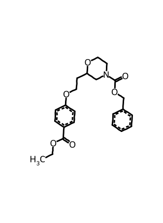 CCOC(=O)c1ccc(OCCC2CN(C(=O)OCc3ccccc3)CCO2)cc1